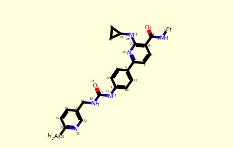 CCNC(=O)c1ccc(-c2ccc(NC(=O)NCc3ccc([AsH2])nc3)cc2)nc1NC1CC1